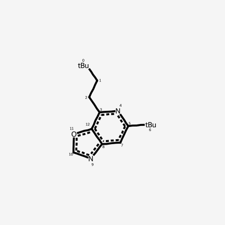 CC(C)(C)CCc1nc(C(C)(C)C)cc2ncoc12